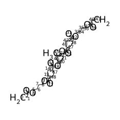 C=CC(=O)OCCCCOC(=O)C1CCC(C(=O)Oc2ccc(OC(=O)C3CCC(C(=O)OCCCCOC(=O)C=C)CC3)c(C)c2)CC1